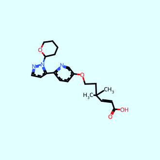 CC(C)(/C=C/C(=O)O)CCOc1ccc(-c2ccnn2C2CCCCO2)nc1